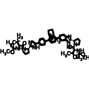 COC(=O)N[C@H](C(=O)N1CCC[C@H]1c1ncc(-c2ccc(-c3ccc(-c4ccc5nc([C@@H]6CCCN6C(=O)[C@@H](NC(=O)OC)C(C)C)[nH]c5c4)c4c3C3CCC4N3C)cc2)[nH]1)C(C)C